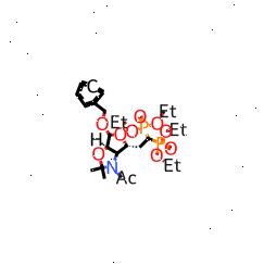 CCOP(=O)(OCC)C(C[C@H]1OC(OCc2ccccc2)[C@@H]2OC(C)(C)N(C(C)=O)C21)P(=O)(OCC)OCC